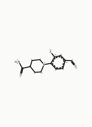 NC(=O)C1CCN(c2ccc(C=O)cc2F)CC1